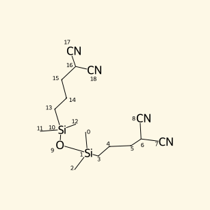 C[Si](C)(CCCC(C#N)C#N)O[Si](C)(C)CCCC(C#N)C#N